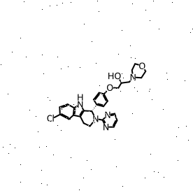 O[C@H](COc1ccc([C@H]2c3[nH]c4ccc(Cl)cc4c3CCN2c2ncccn2)cc1)CN1CCOCC1